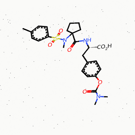 Cc1ccc(S(=O)(=O)N(C)C2(C(=O)N[C@@H](Cc3ccc(OC(=O)N(C)C)cc3)C(=O)O)CCCC2)cc1